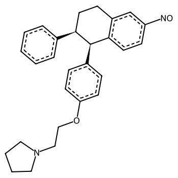 O=Nc1ccc2c(c1)CC[C@H](c1ccccc1)[C@@H]2c1ccc(OCCN2CCCC2)cc1